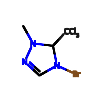 CN1N=CN(Br)C1C(Cl)(Cl)Cl